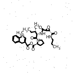 CCCNC(=O)[C@H]1OC1C(=O)N[C@H](C(=O)N1CCC[C@H]1C(=O)OC(=O)C1=CN(C)c2ccccc2C1)[C@@H](C)CC